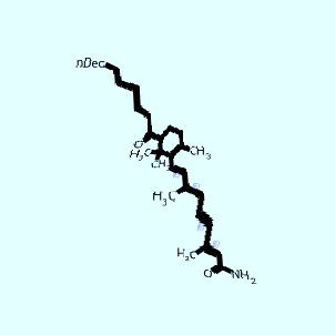 CCCCCCCCCCCCCCCC(=O)C1CCC(C)=C(/C=C/C(C)=C/C=C/C(C)=C/C(N)=O)C1(C)C